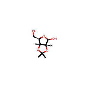 CC1(C)O[C@@H]2[C@H](O1)[C@@H](CO)O[C@H]2O